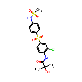 CC(C)(O)C(=O)Nc1ccc(S(=O)(=O)c2ccc(NS(C)(=O)=O)cc2)cc1Cl